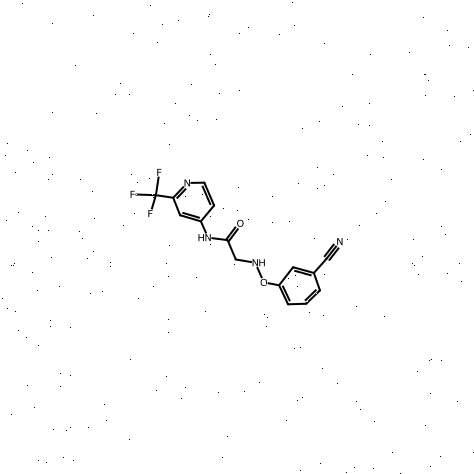 N#Cc1cccc(ONCC(=O)Nc2ccnc(C(F)(F)F)c2)c1